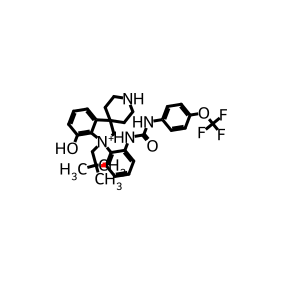 CC(C)(C)C[N+]1(c2ccccc2NC(=O)Nc2ccc(OC(F)(F)F)cc2)CC2(CCNCC2)c2cccc(O)c21